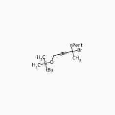 CCCCCC(C)(Br)C#CCO[Si](C)(C)C(C)(C)C